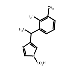 Cc1cccc(C(C)c2cn(C(=O)O)cn2)c1C